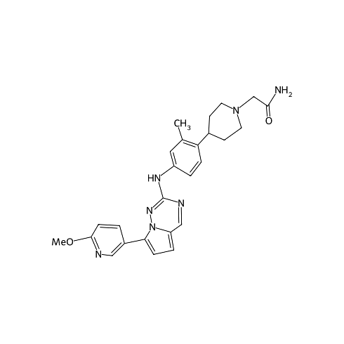 COc1ccc(-c2ccc3cnc(Nc4ccc(C5CCN(CC(N)=O)CC5)c(C)c4)nn23)cn1